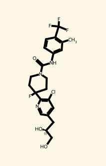 Cc1cc(NC(=O)N2CCC(F)(c3ncc(C[C@H](O)CO)cc3Cl)CC2)ccc1C(F)(F)F